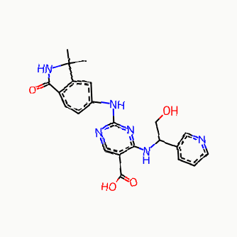 CC1(C)NC(=O)c2ccc(Nc3ncc(C(=O)O)c(NC(CO)c4cccnc4)n3)cc21